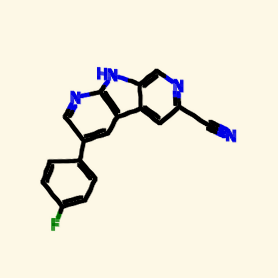 N#Cc1cc2c(cn1)[nH]c1ncc(-c3ccc(F)cc3)cc12